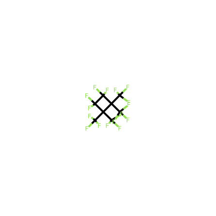 FC(F)(F)C1(C(F)(F)F)C(F)(F)C(F)(F)C1(C(F)(F)F)C(F)(F)F